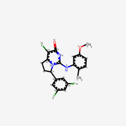 COc1ccc(C)c(Nc2nc(=O)c(F)c3n2C(c2cc(F)cc(F)c2)CC3)c1